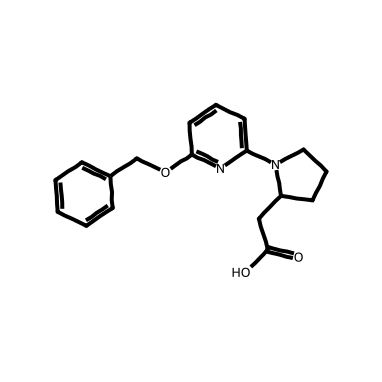 O=C(O)CC1CCCN1c1cccc(OCc2ccccc2)n1